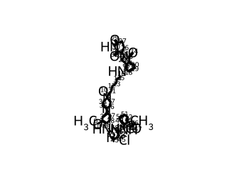 COc1cc(N2CCN(C(=O)CCCCCNc3cccc4c3CN(C3CCC(=O)NC3=O)C4=O)CC2)ccc1Nc1ncc(Cl)c(Nc2ccccc2P(C)(C)=O)n1